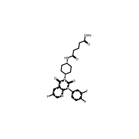 COC(=O)CCCC(=O)N[C@H]1CC[C@@H](n2c(=O)c3cc(F)cnc3n(-c3ccc(F)c(F)c3)c2=O)CC1